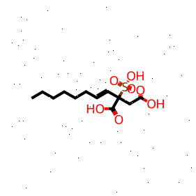 CCCCCCC=CC(CC(=O)O)(C(=O)O)S(=O)(=O)O